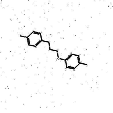 Cc1ccc(CCCOc2ccc(C)cc2)cc1